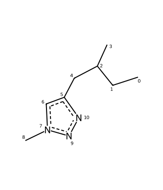 CCC(C)Cc1cn(C)nn1